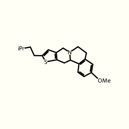 COc1ccc2c(c1)CCN1Cc3cc(CCC(C)C)sc3CC21